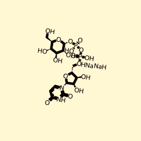 O=c1ccn([C@@H]2O[C@H](COP(=O)(O)OP(=O)(O)O[C@H]3O[C@H](CO)[C@@H](O)[C@H](O)[C@H]3O)[C@@H](O)[C@H]2O)c(=O)[nH]1.[NaH].[NaH]